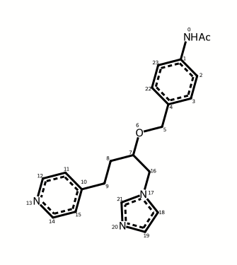 CC(=O)Nc1ccc(COC(CCc2ccncc2)Cn2ccnc2)cc1